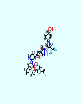 CC(C)(C)OC(=O)N(CC1CC1)c1cc(-c2nc(C(=O)Nc3cn([C@H]4CC[C@H](CO)CC4)nc3C(F)F)co2)ccn1